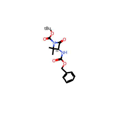 CC(C)(C)OC(=O)N1C(=O)[C@@H](NC(=O)OCc2ccccc2)C1(C)C